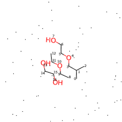 CC(C)COCCO.CCOCC.OCCO